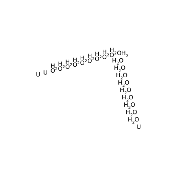 O.O.O.O.O.O.O.O.O.O.O.O.O.O.O.O.O.O.O.[U].[U].[U]